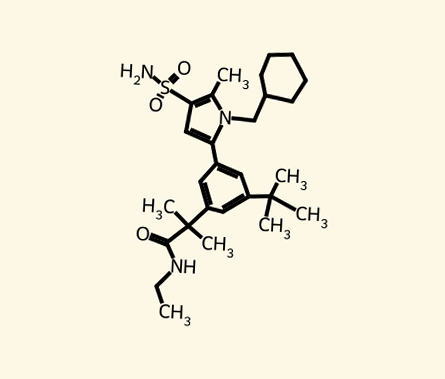 CCNC(=O)C(C)(C)c1cc(-c2cc(S(N)(=O)=O)c(C)n2CC2CCCCC2)cc(C(C)(C)C)c1